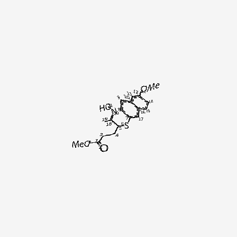 COC(=O)CCC(Sc1ccc2cc(OC)ccc2c1)C(C)=NO